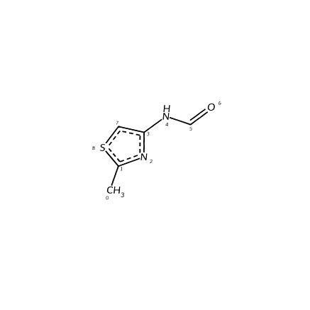 Cc1nc(NC=O)cs1